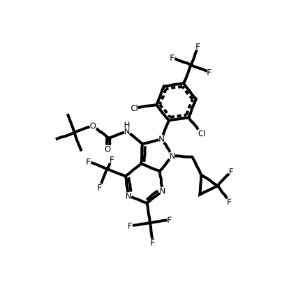 CC(C)(C)OC(=O)NC1=C2C(C(F)(F)F)=NC(C(F)(F)F)=NC2N(CC2CC2(F)F)N1c1c(Cl)cc(C(F)(F)F)cc1Cl